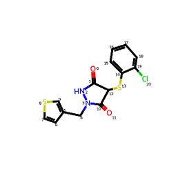 O=C1NN(Cc2ccsc2)C(=O)C1Sc1ccccc1Cl